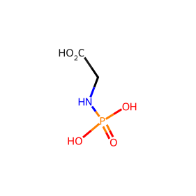 O=C(O)CNP(=O)(O)O